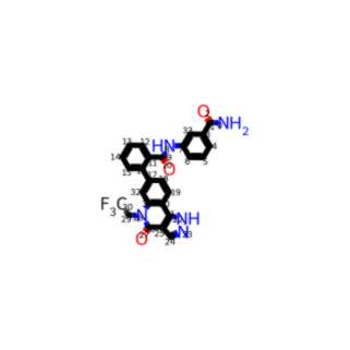 NC(=O)c1cccc(NC(=O)c2ccccc2-c2ccc3c4[nH]ncc4c(=O)n(CC(F)(F)F)c3c2)c1